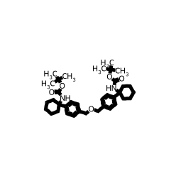 CC(C)(C)OC(=O)NC1(c2ccc(COCc3ccc(C4(NC(=O)OC(C)(C)C)CCCCC4)cc3)cc2)CCCCC1